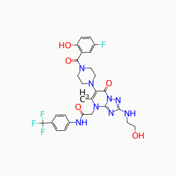 Cc1c(N2CCN(C(=O)c3cc(F)ccc3O)CC2)c(=O)n2nc(NCCO)nc2n1CC(=O)Nc1ccc(C(F)(F)F)cc1